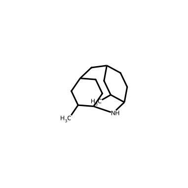 CC1CC2CCC1NC1CCC(C2)CC1C